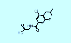 CC(C)Cc1c(F)cc(C(=O)NCC(=O)O)cc1Cl